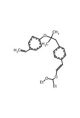 C=Cc1ccc(OC(C)(C)Cc2ccc(C=COC(CC)OCC)cc2)cc1